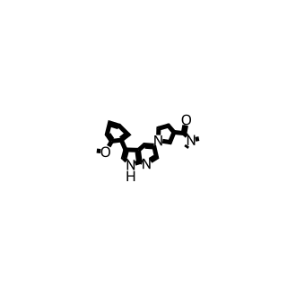 COc1ccccc1-c1c[nH]c2ncc(N3CCC(C(=O)N(C)C)C3)cc12